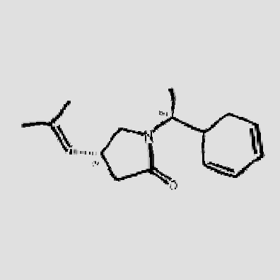 CC(C)=C[C@H]1CC(=O)N([C@@H](C)C2C=CC=CC2)C1